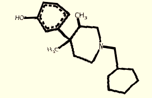 CC1CN(CC2CCCCC2)CCC1(C)c1cccc(O)c1